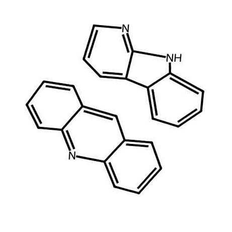 c1ccc2c(c1)[nH]c1ncccc12.c1ccc2nc3ccccc3cc2c1